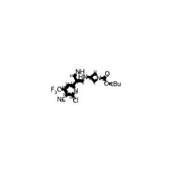 CC(C)(C)OC(=O)N1CC(N/C=C(\C=N)c2cc(C(F)(F)F)c(C#N)c(Cl)n2)C1